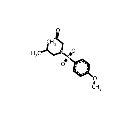 COc1ccc(S(=O)(=O)N(C[C]=O)CC(C)C)cc1